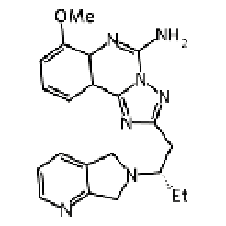 CC[C@@H](Cc1nc2n(n1)C(N)=NC1C(OC)=CC=CC21)N1Cc2cccnc2C1